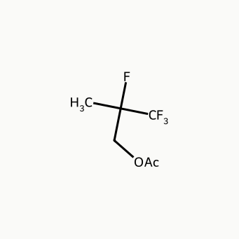 CC(=O)OCC(C)(F)C(F)(F)F